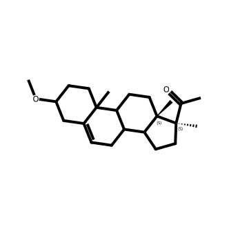 COC1CCC2(C)C(=CCC3C2CC[C@@]2(C)C3CC[C@]2(C)C(C)=O)C1